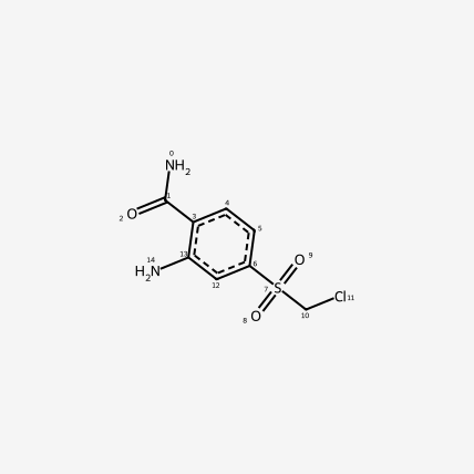 NC(=O)c1ccc(S(=O)(=O)CCl)cc1N